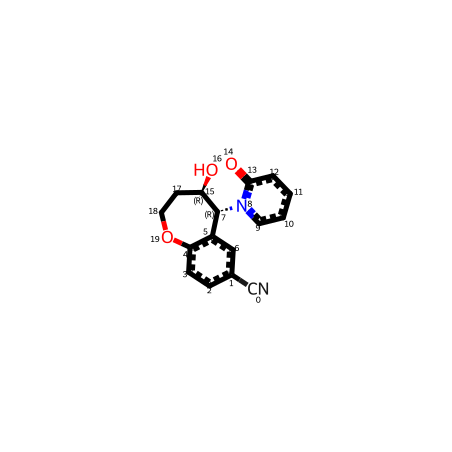 N#Cc1ccc2c(c1)[C@@H](n1ccccc1=O)[C@H](O)CCO2